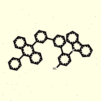 N#Cc1ccc(-n2c3ccccc3c3ccccc32)c(-c2cccc(-c3cccc(-c4c5ccccc5c(-c5ccccc5)c5ccccc45)c3)c2)c1